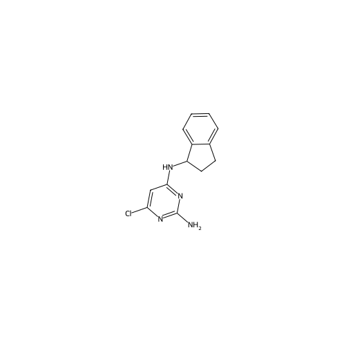 Nc1nc(Cl)cc(NC2CCc3ccccc32)n1